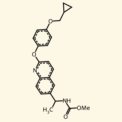 COC(=O)NC(C)c1ccc2nc(Oc3ccc(OCC4CC4)cc3)ccc2c1